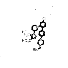 CC(C)(C)CN1CCN(c2ccc(-c3ccc(Cl)cc3N3CCCC(n4ncc(C(=O)O)c4C(F)(F)F)C3)cc2)CC1.Cl